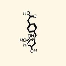 O=C(O)Cc1ccc(CN2CC(O)NS2(O)O)cc1